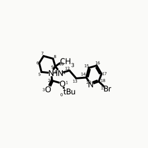 CC(C)(C)OC(=O)N1CCCCC1(C)NCCc1cccc(Br)n1